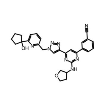 N#Cc1cccc(-c2cc(-c3cn(Cc4cccc(C5(O)CCCC5)n4)nn3)nc(NC3CCOC3)n2)c1